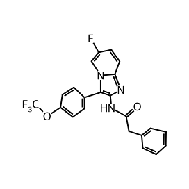 O=C(Cc1ccccc1)Nc1nc2ccc(F)cn2c1-c1ccc(OC(F)(F)F)cc1